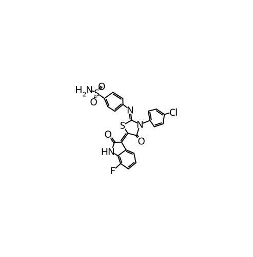 NS(=O)(=O)c1ccc(/N=C2\S/C(=C3\C(=O)Nc4c(F)cccc43)C(=O)N2c2ccc(Cl)cc2)cc1